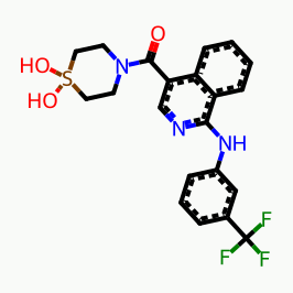 O=C(c1cnc(Nc2cccc(C(F)(F)F)c2)c2ccccc12)N1CCS(O)(O)CC1